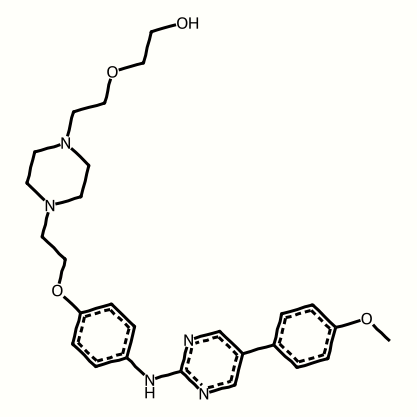 COc1ccc(-c2cnc(Nc3ccc(OCCN4CCN(CCOCCO)CC4)cc3)nc2)cc1